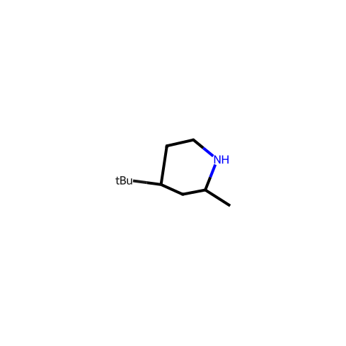 CC1CC(C(C)(C)C)CCN1